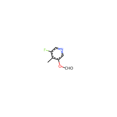 Cc1c(F)cncc1OC=O